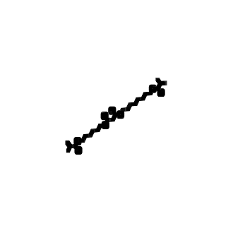 C=C(C)C(=O)OCCCCCCCCOC(=O)CC(=O)OCCCCCCOC(=O)C(=C)C